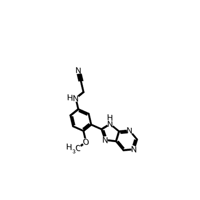 COc1ccc(NCC#N)cc1-c1nc2cncnc2[nH]1